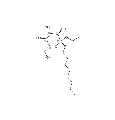 CCCCCCCCO[C@@]1(OCC)O[C@H](CO)[C@@H](O)[C@H](O)[C@H]1O